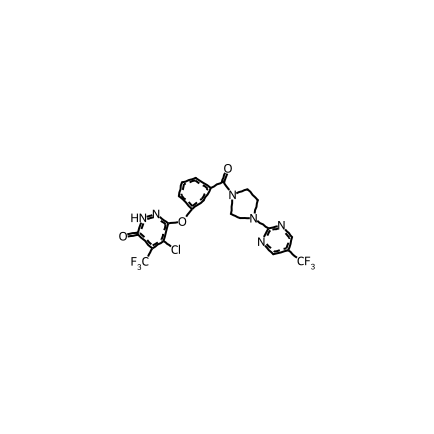 O=C(c1cccc(Oc2n[nH]c(=O)c(C(F)(F)F)c2Cl)c1)N1CCN(c2ncc(C(F)(F)F)cn2)CC1